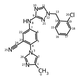 Cc1cn(-c2ccc(Nc3ncn(Cc4ccccc4Cl)n3)cc2C#N)cn1